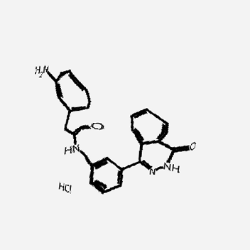 Cl.Nc1cccc(CC(=O)Nc2cccc(-c3n[nH]c(=O)c4ccccc34)c2)c1